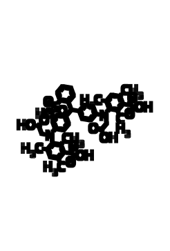 Cc1cc(C)c(S(=O)(=O)O)c(C)c1N(CC(=O)O)c1ccc(C(c2ccc(N(CC(=O)O)c3c(C)cc(C)c(S(=O)(=O)O)c3C)cc2)c2ccccc2S(=O)(=O)O)cc1